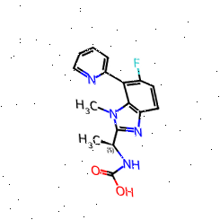 C[C@H](NC(=O)O)c1nc2ccc(F)c(-c3ccccn3)c2n1C